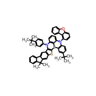 CC(C)(C)c1ccc(N2c3cccc4c3B(c3cc(C(C)(C)C)ccc3N4c3cccc4oc5ccccc5c34)c3sc4cc5c(cc4c32)-c2ccccc2C5(C)C)cc1